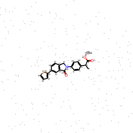 CC(C(=O)OC(C)(C)C)c1ccc(N2Cc3ccc(-c4cccs4)cc3C2=O)cc1